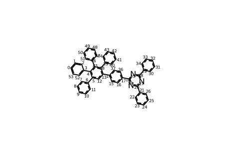 C1=C=CC(c2c(-c3ccccc3)cc(-c3ccc(-c4nc(-c5ccccc5)nc(-c5ccccc5)n4)cc3)c(-c3ccccc3)c2-c2ccccc2)=CC=1